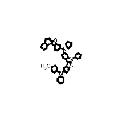 Cc1ccc(N(c2ccccc2)c2ccc3sc4c(c3c2)c2ccc(N(c3ccccc3)c3ccc5c(c3)oc3ccc6ccccc6c35)cc2n4-c2ccccc2)cc1